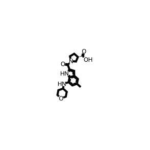 Cc1cc(NC2CCOCC2)c2[nH]c(C(=O)N3CC[C@H](C(=O)O)C3)cc2c1